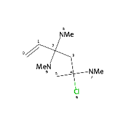 C=CC(CC(C)(Cl)NC)(NC)NC